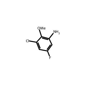 COc1c(N)cc(F)cc1Cl